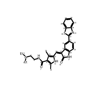 CCN(CC)CCNC(=O)c1c(C)[nH]c(/C=C2\C(=O)Nc3ccc(-c4nc5ccccc5s4)cc32)c1C